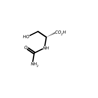 NC(=O)N[C@H](CO)C(=O)O